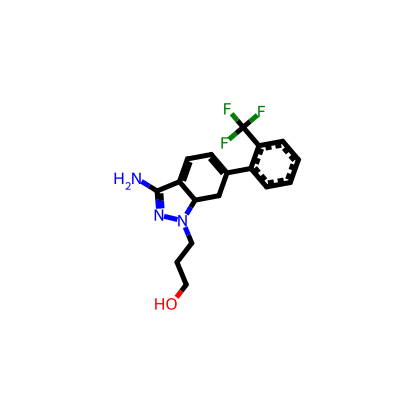 NC1=NN(CCCO)C2CC(c3ccccc3C(F)(F)F)=CC=C12